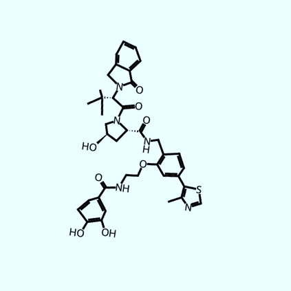 Cc1ncsc1-c1ccc(CNC(=O)[C@@H]2C[C@@H](O)CN2C(=O)[C@@H](N2Cc3ccccc3C2=O)C(C)(C)C)c(OCCNC(=O)c2ccc(O)c(O)c2)c1